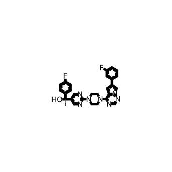 C[C@](O)(c1ccc(F)cc1)c1cnc(N2CCN(c3ncnn4cc(-c5cccc(F)c5)cc34)CC2)nc1